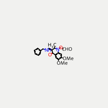 COc1cc2c(cc1OC)N(OC=O)C(C)C(=CNCc1ccccc1)C2=O